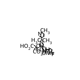 CO/N=C/[C@]1(CCc2ccc(F)s2)CCN(C(C)(C)c2ccc(C)nc2)C1.O=C(O)CC(O)(CC(=O)O)C(=O)O